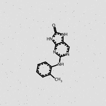 Cc1ccccc1Nc1ncc2[nH]c(=O)[nH]c2n1